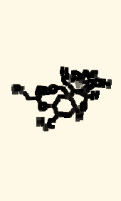 CC(=O)OC[C@]12C[C@H](OC(=O)CC(C)C)C(C)=C[C@H]1O[C@@H]1[C@H](O)[C@@H](OC(C)=O)[C@@]2(C)[C@]12CO2